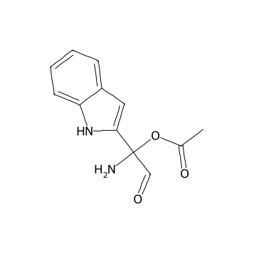 CC(=O)OC(N)(C=O)c1cc2ccccc2[nH]1